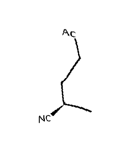 CC(=O)CC[C@@H](C)C#N